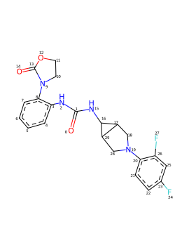 O=C(Nc1ccccc1N1CCOC1=O)NC1C2CN(c3ccc(F)cc3F)CC21